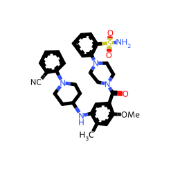 COc1cc(C)c(NC2CCN(c3ccccc3C#N)CC2)cc1C(=O)N1CCN(c2ccccc2S(N)(=O)=O)CC1